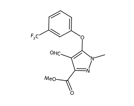 COC(=O)c1nn(C)c(Oc2cccc(C(F)(F)F)c2)c1C=O